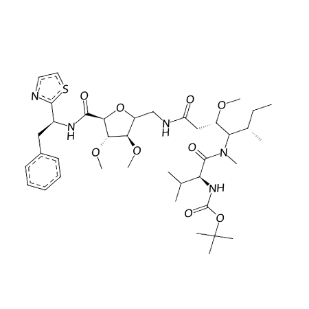 CC[C@H](C)C([C@H](CC(=O)NCC1O[C@H](C(=O)N[C@@H](Cc2ccccc2)c2nccs2)[C@@H](OC)[C@@H]1OC)OC)N(C)C(=O)[C@@H](NC(=O)OC(C)(C)C)C(C)C